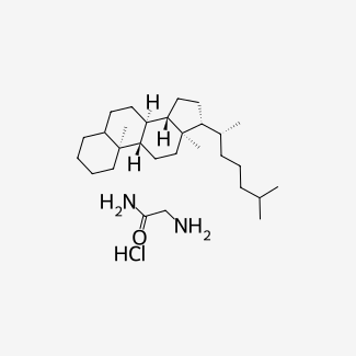 CC(C)CCC[C@@H](C)[C@H]1CC[C@H]2[C@@H]3CCC4CCCC[C@]4(C)[C@H]3CC[C@]12C.Cl.NCC(N)=O